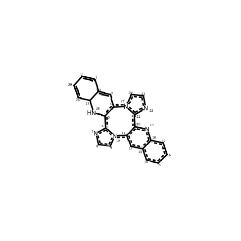 C1=CC2=Cc3c(c4nccn4c4cc5ccccc5nc4c4nccn34)NC2C=C1